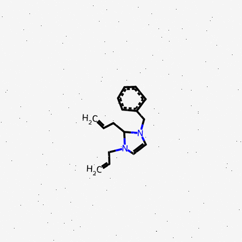 C=CCC1N(CC=C)C=CN1Cc1ccccc1